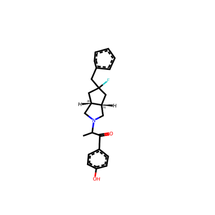 CC(C(=O)c1ccc(O)cc1)N1C[C@@H]2CC(F)(Cc3ccccc3)C[C@@H]2C1